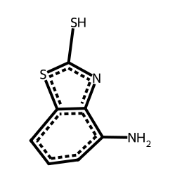 Nc1cccc2sc(S)nc12